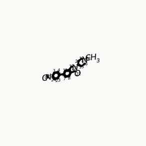 [C-]#[N+]c1ccc(-c2ccc3c(c2)CN(C2CCN(C)CC2)C3=O)cc1